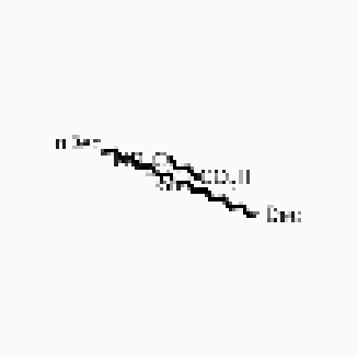 CCCCCCCCCCCCCCCCC[CH2][Sn][CH2]CCCCCCCCCCCCCCCCC.O=C(O)CCCCC(=O)O